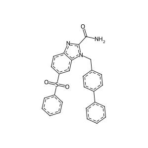 NC(=O)c1nc2ccc(S(=O)(=O)c3ccccc3)cc2n1Cc1ccc(-c2ccccc2)cc1